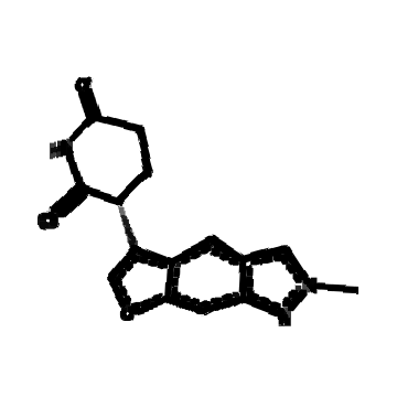 Cn1cc2cc3c([C@H]4CCC(=O)NC4=O)coc3cc2n1